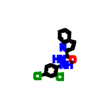 O=C(NNc1ccc(Cl)cc1Cl)c1ccc2ccccc2n1